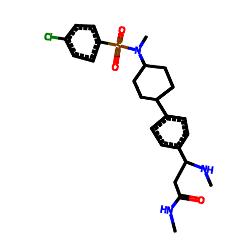 CNC(=O)CC(NC)c1ccc(C2CCC(N(C)S(=O)(=O)c3ccc(Cl)cc3)CC2)cc1